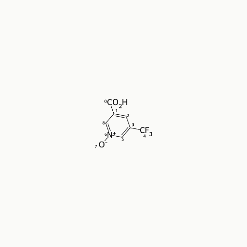 O=C(O)c1cc(C(F)(F)F)c[n+]([O-])c1